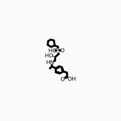 CC(NC[C@H](O)CP(=O)(O)CC1CCCCC1)c1ccc(CC(=O)O)cc1